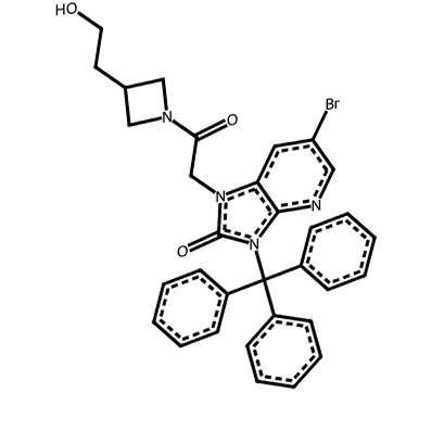 O=C(Cn1c(=O)n(C(c2ccccc2)(c2ccccc2)c2ccccc2)c2ncc(Br)cc21)N1CC(CCO)C1